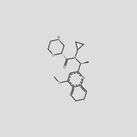 COc1cc([C@H](C)N(C(=O)[C@H]2CNCCO2)C2CC2)nc2c1=CCCC=2